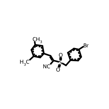 Cc1cc(C)cc(/C=C(\C#N)S(=O)(=O)Cc2ccc(Br)cc2)c1